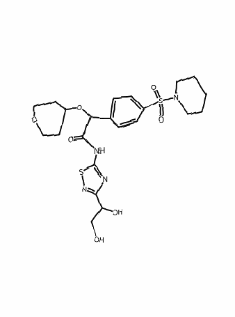 O=C(Nc1nc(C(O)CO)ns1)C(OC1CCOCC1)c1ccc(S(=O)(=O)N2CCCCC2)cc1